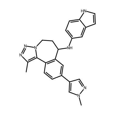 Cc1nnn2c1-c1ccc(-c3cnn(C)c3)cc1C(Nc1ccc3[nH]ccc3c1)CC2